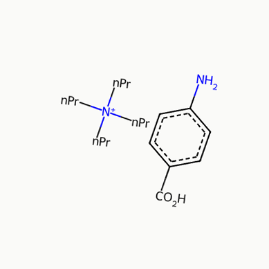 CCC[N+](CCC)(CCC)CCC.Nc1ccc(C(=O)O)cc1